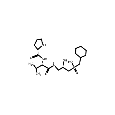 CC(C)[C@H]([AsH]C(=O)[C@@H]1CCCN1)C(=O)NC[C@@H](O)CP(=O)(O)CC1CCCCC1